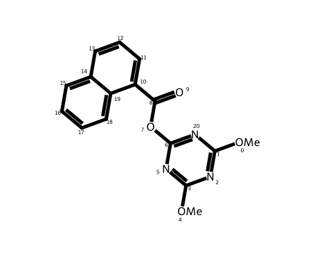 COc1nc(OC)nc(OC(=O)c2cccc3ccccc23)n1